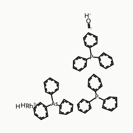 [C]=O.[H-].[H-].[H-].[Rh+3].c1ccc(P(c2ccccc2)c2ccccc2)cc1.c1ccc(P(c2ccccc2)c2ccccc2)cc1.c1ccc([As](c2ccccc2)c2ccccc2)cc1